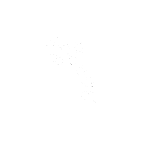 CC[C@H]1C[C@H]2C[C@@H](C)CC(c3ccc(-c4ccccc4-c4nc(-c5ccccc5)nc(-c5ccc(-c6ccc7oc8c(C#N)cccc8c7c6)cc5)n4)cc3)(C2)C1